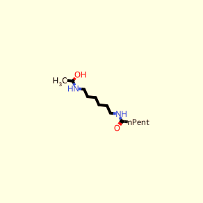 CCCCCC(=O)NCCCCCCNC(C)O